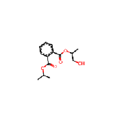 CC(C)OC(=O)c1ccccc1C(=O)OC(C)CO